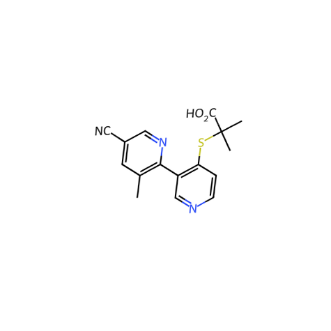 Cc1cc(C#N)cnc1-c1cnccc1SC(C)(C)C(=O)O